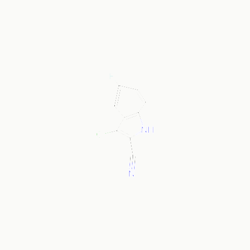 N#Cc1[nH]c2ccc(F)cc2c1Cl